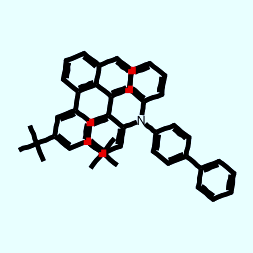 CC(C)(C)c1cc(-c2cccc3cccc(-c4ccccc4N(c4ccccc4)c4ccc(-c5ccccc5)cc4)c23)cc(C(C)(C)C)c1